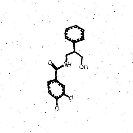 O=C(NCC(CO)c1ccccc1)c1ccc(Cl)c(Cl)c1